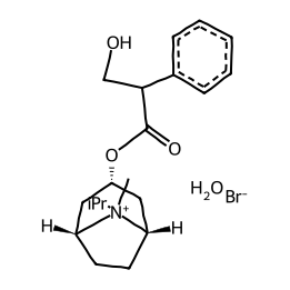 CC(C)[N+]1(C)[C@@H]2CC[C@H]1C[C@@H](OC(=O)C(CO)c1ccccc1)C2.O.[Br-]